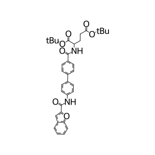 CC(C)(C)OC(=O)CCC(NC(=O)c1ccc(-c2ccc(NC(=O)c3cc4ccccc4o3)cc2)cc1)C(=O)OC(C)(C)C